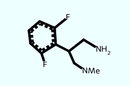 CNCC(CN)c1c(F)cccc1F